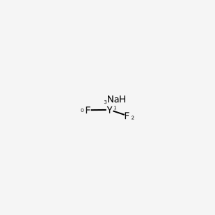 [F][Y][F].[NaH]